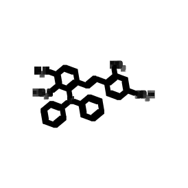 Nc1ccc(/C=C/c2ccc(S(=O)(=O)O)cc2[N+](=O)[O-])c(N(c2ccccc2)c2ccccc2)c1S(=O)(=O)O